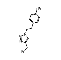 CCCc1ccc(CCn2cc(CC(C)C)nn2)cc1